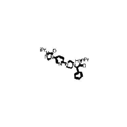 CCCNC(=O)C(c1ccccc1)N1CCN(c2ccc(-n3cnn(C(C)C)c3=O)cn2)CC1